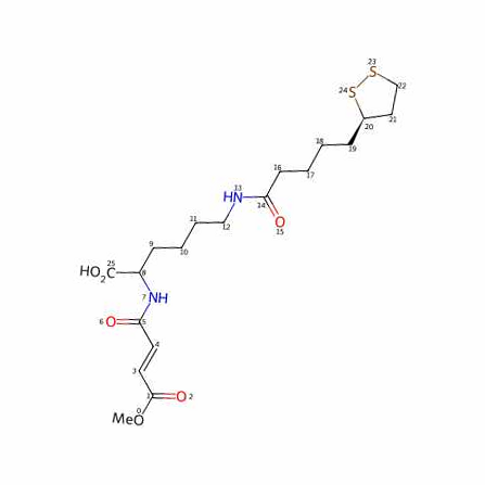 COC(=O)/C=C/C(=O)NC(CCCCNC(=O)CCCC[C@@H]1CCSS1)C(=O)O